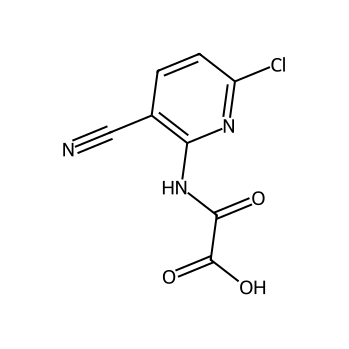 N#Cc1ccc(Cl)nc1NC(=O)C(=O)O